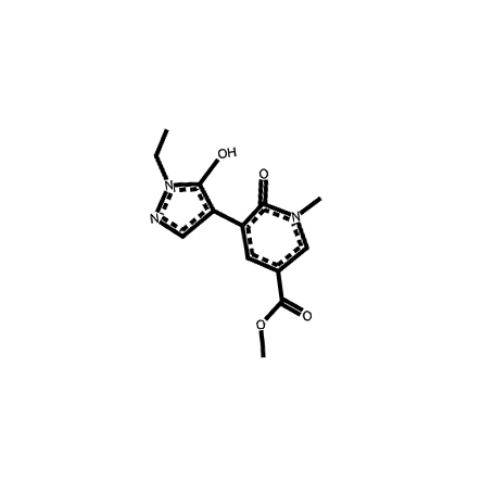 CCn1ncc(-c2cc(C(=O)OC)cn(C)c2=O)c1O